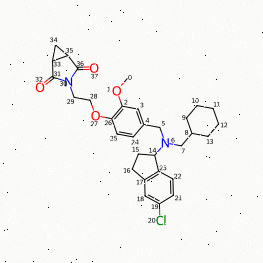 COc1cc(CN(CC2CCCCC2)C2CCc3cc(Cl)ccc32)ccc1OCCN1C(=O)C2CC2C1=O